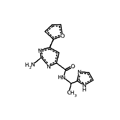 CC(NC(=O)c1cc(-c2ccco2)nc(N)n1)c1ncc[nH]1